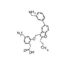 CCCc1oc2ccc(-c3cccc(CN)c3)cc2c1COc1cc(C)ccc1CC(=O)O